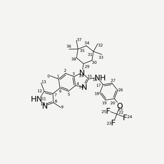 Cc1cc2c(cc1-c1c(C)n[nH]c1C)nc(Nc1ccc(OC(F)(F)F)cc1)n2C1CC(C)(C)CC(C)(C)C1